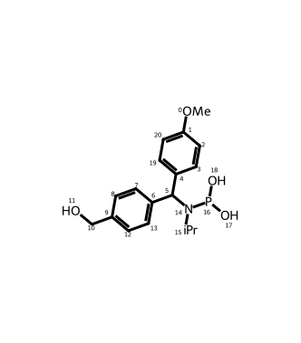 COc1ccc(C(c2ccc(CO)cc2)N(C(C)C)P(O)O)cc1